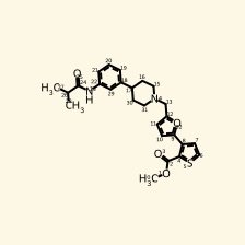 COC(=O)c1sccc1-c1ccc(CN2CCC(c3cccc(NC(=O)C(C)C)c3)CC2)o1